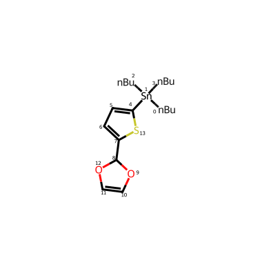 CCC[CH2][Sn]([CH2]CCC)([CH2]CCC)[c]1ccc(C2OC=CO2)s1